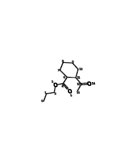 CCCOC(=O)C1CCCCC1C(C)=O